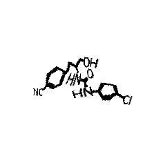 N#Cc1ccc(CC(CO)NC(=O)Nc2ccc(Cl)cc2)cc1